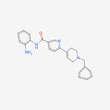 Nc1ccccc1NC(=O)c1ccc(C2=CCN(Cc3ccccc3)CC2)nc1